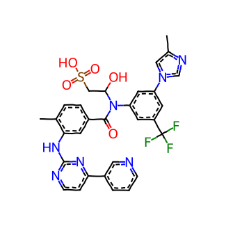 Cc1cn(-c2cc(N(C(=O)c3ccc(C)c(Nc4nccc(-c5cccnc5)n4)c3)C(O)CS(=O)(=O)O)cc(C(F)(F)F)c2)cn1